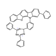 N/C(=N\C(/N=C/c1ccccc1)c1cccc(-n2c3cc(-c4ccccc4)ccc3c3ccc4c5ccccc5oc4c32)c1)c1ccccc1